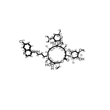 CC[C@H]1OC(=O)[C@H](C)[C@@H](O[C@H]2C[C@@](C)(OC)[C@@H](O)[C@H](C)O2)[C@H](C)[C@@H](O[C@@H]2O[C@H](C)C[C@H](N(C)C)[C@H]2O)[C@](C)(O)C[C@@H](C)CN(CCCNc2ccnc3cc(Cl)ccc23)[C@H](C)[C@@H](O)[C@]1(C)O